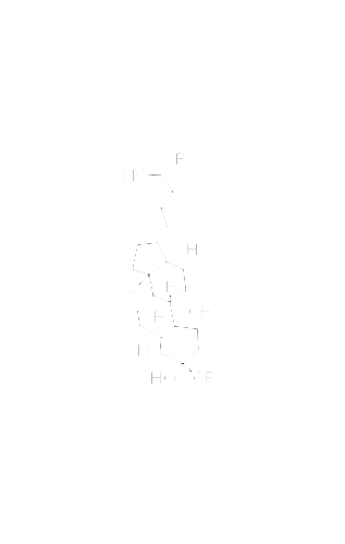 CC(C)(C)[C@@H](O)CCC[C@H]1CC[C@H]2[C@@H]3CC[C@@H]4C[C@](O)(C(F)(F)F)CC[C@]4(C)[C@H]3CC[C@]12C